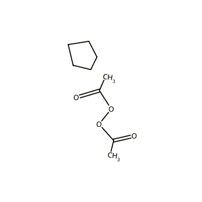 C1CCCC1.CC(=O)OOC(C)=O